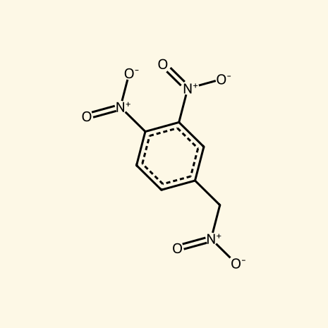 O=[N+]([O-])Cc1ccc([N+](=O)[O-])c([N+](=O)[O-])c1